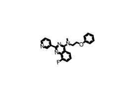 CN(CCOc1ccccc1)c1nc(-c2cccnc2)nc2c(F)cccc12